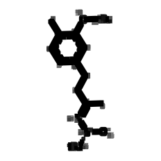 C/C(CCc1ccc(C)c(OC(C)(C)C)c1)=N\[S@+]([O-])C(C)(C)C